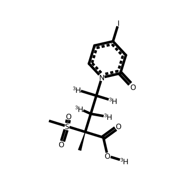 [3H]OC(=O)[C@@](C)(C([3H])([3H])C([3H])([3H])n1ccc(I)cc1=O)S(C)(=O)=O